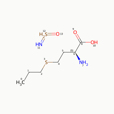 CCCSCC[C@H](N)C(=O)O.N=[SH2]=O